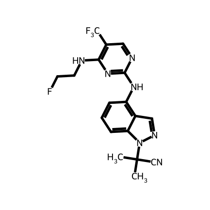 CC(C)(C#N)n1ncc2c(Nc3ncc(C(F)(F)F)c(NCCF)n3)cccc21